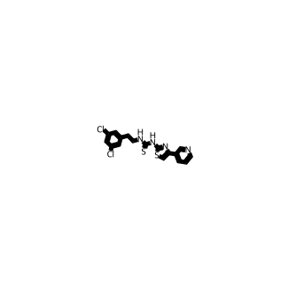 S=C(NCCc1cc(Cl)cc(Cl)c1)Nc1nc(-c2cccnc2)cs1